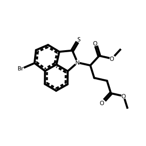 COC(=O)CCC(C(=O)OC)N1C(=S)c2ccc(Br)c3cccc1c23